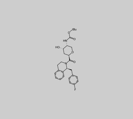 CC(C)(C)OC(=O)N[C@@H]1CO[C@@H](C(=O)N2CCc3ccccc3[C@@H]2Cc2ccc(F)cc2)C[C@@H]1O